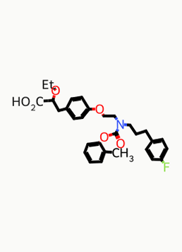 CCOC(Cc1ccc(OCCN(CCCc2ccc(F)cc2)C(=O)Oc2ccccc2C)cc1)C(=O)O